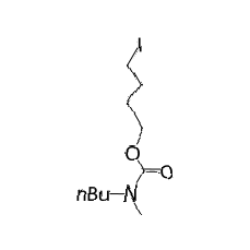 CCCCN(C)C(=O)OCCCCI